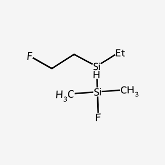 CC[SiH](CCF)[Si](C)(C)F